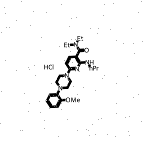 CCCNc1nc(N2CCN(c3ccccc3OC)CC2)ccc1C(=O)N(CC)CC.Cl